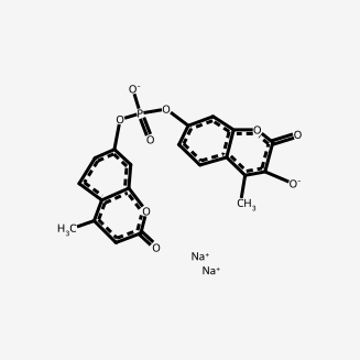 Cc1cc(=O)oc2cc(OP(=O)([O-])Oc3ccc4c(C)c([O-])c(=O)oc4c3)ccc12.[Na+].[Na+]